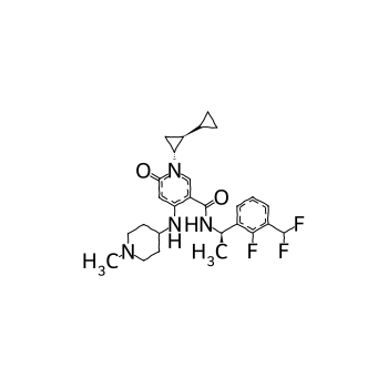 C[C@@H](NC(=O)c1cn([C@@H]2C[C@H]2C2CC2)c(=O)cc1NC1CCN(C)CC1)c1cccc(C(F)F)c1F